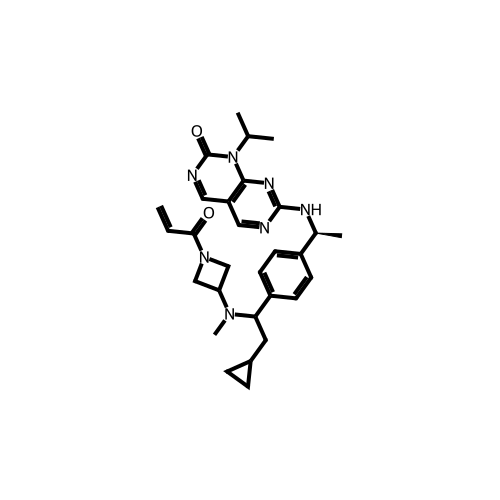 C=CC(=O)N1CC(N(C)C(CC2CC2)c2ccc([C@H](C)Nc3ncc4cnc(=O)n(C(C)C)c4n3)cc2)C1